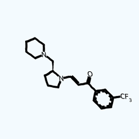 O=C(/C=C/N1CCC[C@H]1CN1CCCCC1)c1cccc(C(F)(F)F)c1